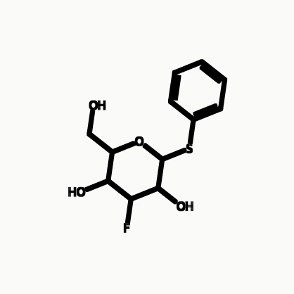 OCC1OC(Sc2ccccc2)C(O)C(F)C1O